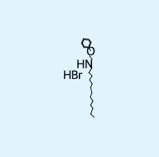 Br.CCCCCCCCCCCCCNCCOc1ccccc1